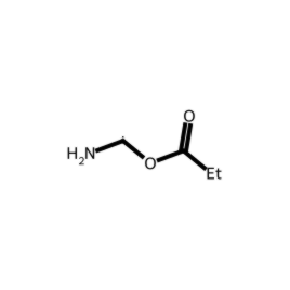 CCC(=O)O[CH]N